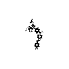 COC(=O)C(C)(S)C(=O)N(CCOC(C)C)c1ccc(C(=O)N2CCN(CCc3ccc(Cl)cc3)CC2)cc1